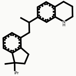 CC(Cc1cccc2c1CCC2(C)C(C)C)c1ccc2c(c1)NCCC2